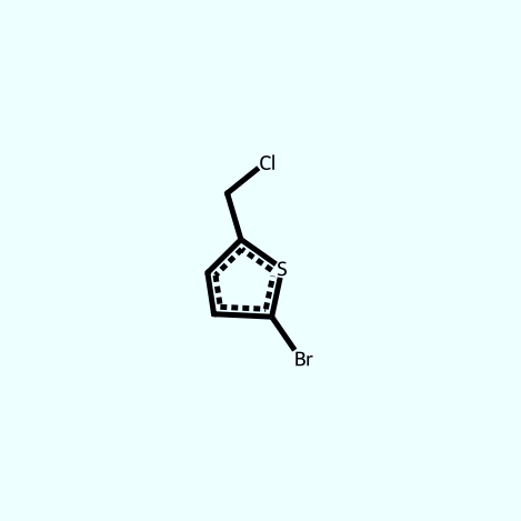 ClCc1ccc(Br)s1